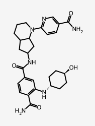 NC(=O)c1ccc(N2CCCC3CC(NC(=O)c4ccc(C(N)=O)c(N[C@H]5CC[C@H](O)CC5)c4)CC32)nc1